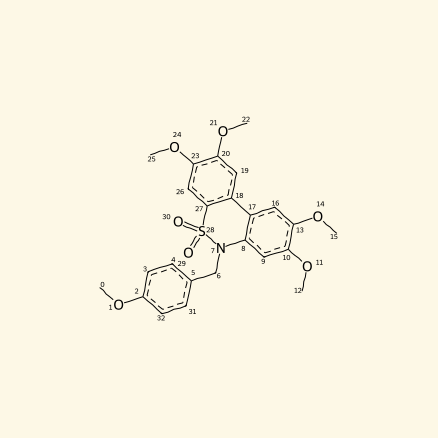 COc1ccc(CN2c3cc(OC)c(OC)cc3-c3cc(OC)c(OC)cc3S2(=O)=O)cc1